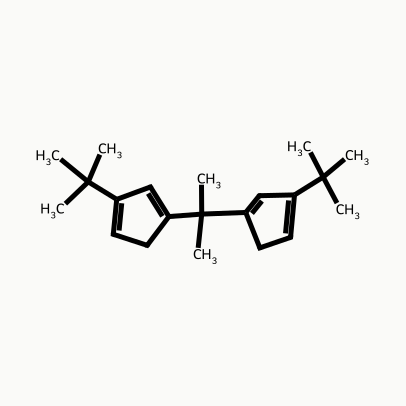 CC(C)(C)C1=CCC(C(C)(C)C2=CC(C(C)(C)C)=CC2)=C1